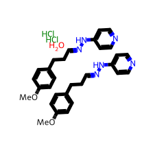 COc1ccc(CCC=NNc2ccncc2)cc1.COc1ccc(CCC=NNc2ccncc2)cc1.Cl.Cl.O